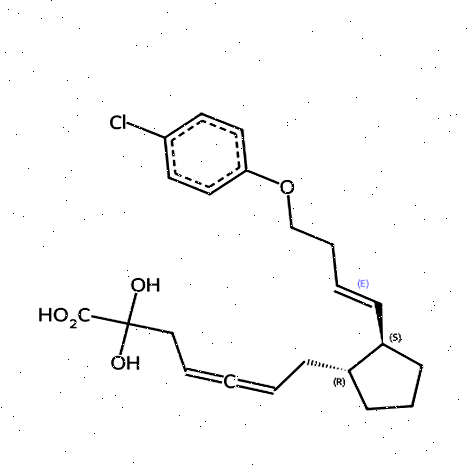 O=C(O)C(O)(O)CC=C=CC[C@H]1CCC[C@@H]1/C=C/CCOc1ccc(Cl)cc1